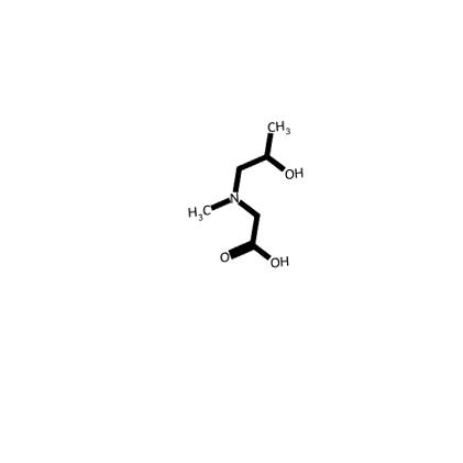 CC(O)CN(C)CC(=O)O